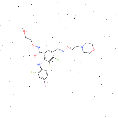 O=C(NOCCO)c1cc(/C=N/OCCN2CCOCC2)c(F)c(F)c1Nc1ccc(I)cc1F